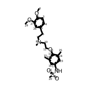 COc1ccc(CCN(C)CCOc2c(C)cc(NS(C)(=O)=O)cc2C)cc1OC